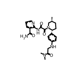 C[C@H]1CC[C@H](c2ccc(NCC(=O)N(C)C)cc2)N(C(=O)C(=O)Nc2ncccc2C(N)=O)C1